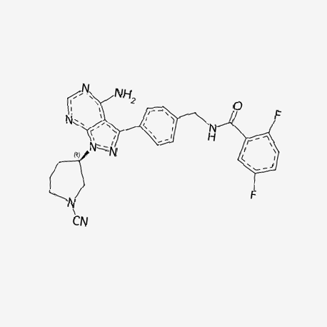 N#CN1CCC[C@@H](n2nc(-c3ccc(CNC(=O)c4cc(F)ccc4F)cc3)c3c(N)ncnc32)C1